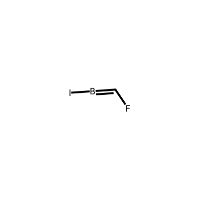 FC=BI